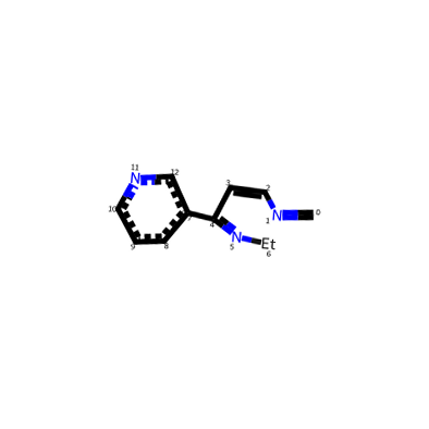 C=N/C=C\C(=N/CC)c1cccnc1